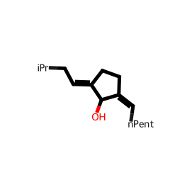 CCCCCC=C1CCC(=CCC(C)C)C1O